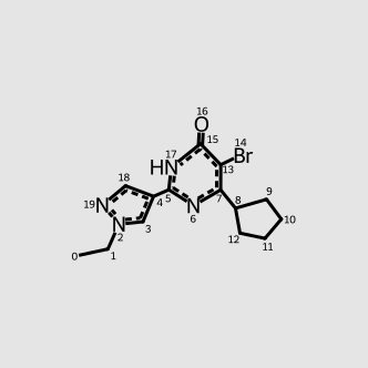 CCn1cc(-c2nc(C3CCCC3)c(Br)c(=O)[nH]2)cn1